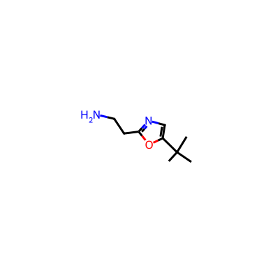 CC(C)(C)c1cnc(CCN)o1